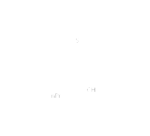 CCCC(C)CC=S